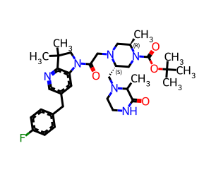 CC1C(=O)NCCN1C[C@H]1CN(C(=O)OC(C)(C)C)[C@H](C)CN1CC(=O)N1CC(C)(C)c2ncc(Cc3ccc(F)cc3)cc21